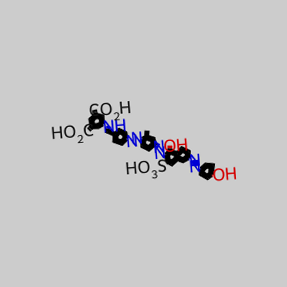 Cc1cc(N=Nc2c(S(=O)(=O)O)cc3cc(N=Nc4ccc(O)cc4)ccc3c2O)ccc1N=Nc1ccc(CNc2cc(C(=O)O)cc(C(=O)O)c2)cc1